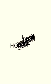 Cc1nnnn1Cc1ccc(C(=O)N[C@H](Cc2ccccc2)[C@@H](O)C(=O)O)cc1